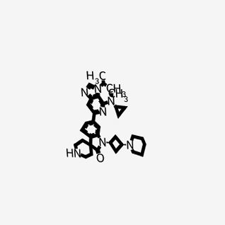 CC(C)n1cnc2cc(-c3ccc4c(c3)N([C@H]3C[C@@H](N5CCCCC5)C3)C(=O)C43CCNCC3)nc(N(C)C3CC3)c21